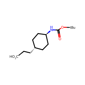 CC(C)(C)OC(=O)N[C@H]1CC[C@H](CCC(=O)O)CC1